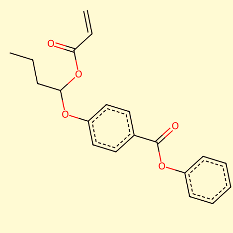 C=CC(=O)OC(CCC)Oc1ccc(C(=O)Oc2ccccc2)cc1